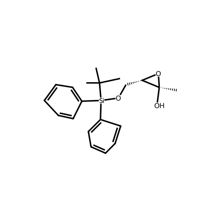 CC(C)(C)[Si](OC[C@@H]1O[C@@]1(C)O)(c1ccccc1)c1ccccc1